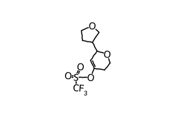 O=S(=O)(OC1=CC(C2CCOC2)OCC1)C(F)(F)F